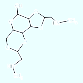 CNCC1OCC2OC(O)C3OC(CNC)OC3C2O1